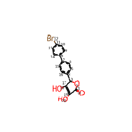 O=C1OC(c2ccc(-c3ccc(Br)cc3)cc2)C(O)=C1O